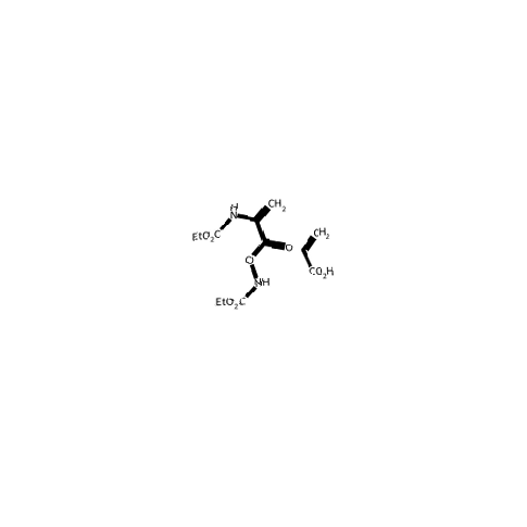 C=C(NC(=O)OCC)C(=O)ONC(=O)OCC.C=CC(=O)O